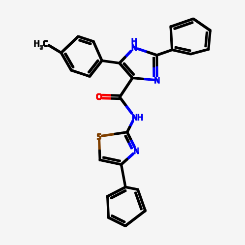 Cc1ccc(-c2[nH]c(-c3ccccc3)nc2C(=O)Nc2nc(-c3ccccc3)cs2)cc1